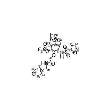 O=C(COc1c(NS(=O)(=O)c2ccno2)cc2c(c1OC(F)(F)F)C(=O)NS2(=O)=O)NCN1CCOCC1